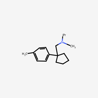 Cc1ccc(C2(CN(C)C(C)C)CCCC2)cc1